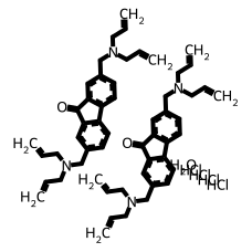 C=CCN(CC=C)Cc1ccc2c(c1)C(=O)c1cc(CN(CC=C)CC=C)ccc1-2.C=CCN(CC=C)Cc1ccc2c(c1)C(=O)c1cc(CN(CC=C)CC=C)ccc1-2.Cl.Cl.Cl.Cl.O